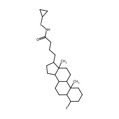 CC12CCC3C(CCC4C(F)CCCC43C)C1CCC2CCCC(=O)NSC1CC1